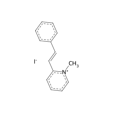 C[n+]1ccccc1C=Cc1ccccc1.[I-]